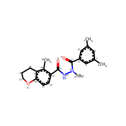 Cc1cc(C)cc(C(=O)N(NC(=O)c2ccc3c(c2C)CCCO3)C(C)(C)C)c1